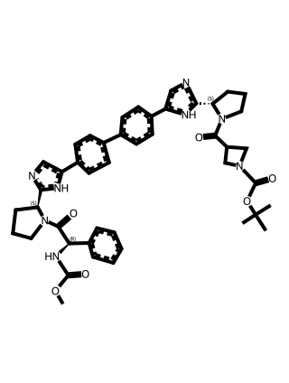 COC(=O)N[C@@H](C(=O)N1CCC[C@H]1c1ncc(-c2ccc(-c3ccc(-c4cnc([C@@H]5CCCN5C(=O)C5CN(C(=O)OC(C)(C)C)C5)[nH]4)cc3)cc2)[nH]1)c1ccccc1